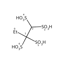 CCC([C](S(=O)(=O)O)S(=O)(=O)O)(S(=O)(=O)O)S(=O)(=O)O